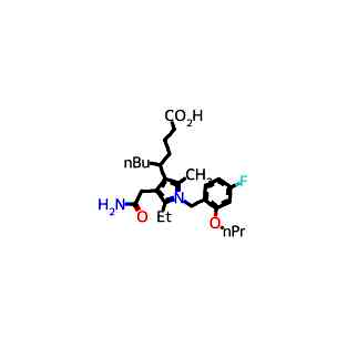 CCCCC(CCCC(=O)O)c1c(CC(N)=O)c(CC)n(Cc2ccc(F)cc2OCCC)c1C